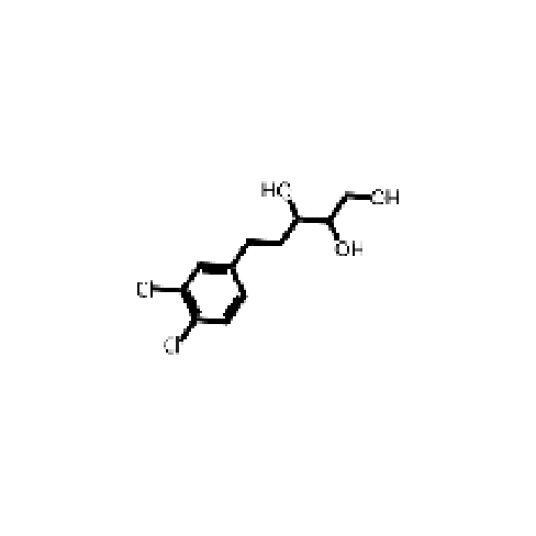 OCC(O)C(O)CCc1ccc(Cl)c(Cl)c1